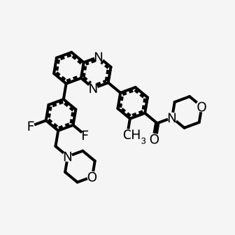 Cc1cc(-c2cnc3cccc(-c4cc(F)c(CN5CCOCC5)c(F)c4)c3n2)ccc1C(=O)N1CCOCC1